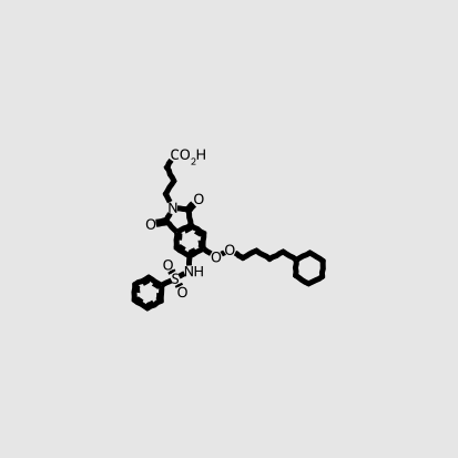 O=C(O)CCCN1C(=O)c2cc(NS(=O)(=O)c3ccccc3)c(OOCCCCC3CCCCC3)cc2C1=O